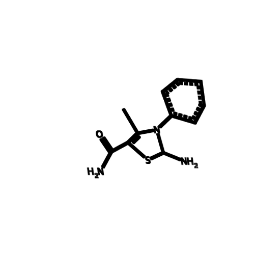 CC1=C(C(N)=O)SC(N)N1c1ccccc1